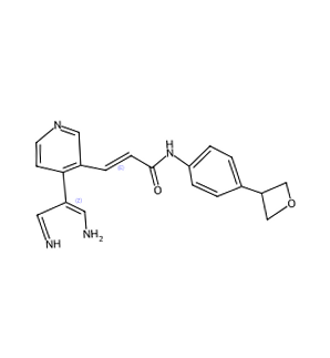 N=C/C(=C\N)c1ccncc1/C=C/C(=O)Nc1ccc(C2COC2)cc1